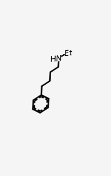 CCNCCCCc1ccccc1